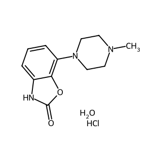 CN1CCN(c2cccc3[nH]c(=O)oc23)CC1.Cl.O